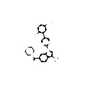 C[S+]([O-])c1cn(-c2ncc(-c3cc(C#N)ccc3F)cn2)c2cc(C(=O)N3CCNCC3)ccc12